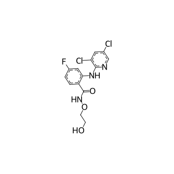 O=C(NOCCO)c1ccc(F)cc1Nc1ncc(Cl)cc1Cl